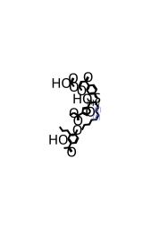 CCCc1c(OCCCC/C=C\C=C\[C@H](Sc2ccc3c(=O)cc(OC(=O)O)oc3c2)[C@H](O)c2cc(C(=O)OC)co2)ccc(C(C)=O)c1O